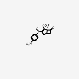 O=C(O)C1=C([S+]([O-])c2ccc([N+](=O)[O-])cc2)CC2CC(=O)C12